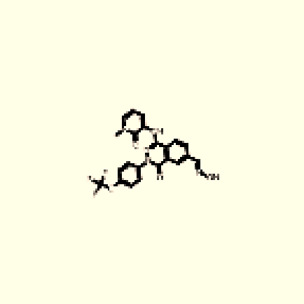 Cn1cccc(Nc2nn(-c3ccc(OC(F)(F)F)cc3)c(=O)c3cc(C=NO)ccc23)c1=O